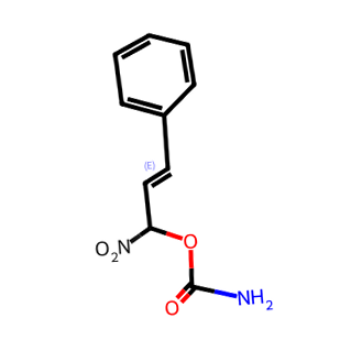 NC(=O)OC(/C=C/c1ccccc1)[N+](=O)[O-]